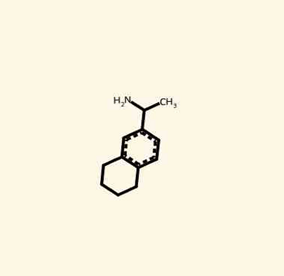 CC(N)c1ccc2c(c1)CCCC2